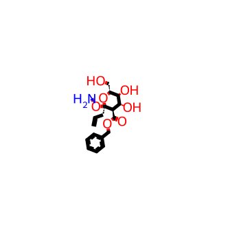 C=CC[C@]1(ON)O[C@H](CO)[C@@H](O)[C@H](O)[C@H]1C(=O)OCc1ccccc1